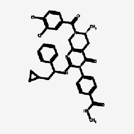 CNC(=O)c1ccc(-n2c(NC(CC3CC3)c3ccccc3)nc3c(c2=O)C[C@@H](C)N(C(=O)c2ccc(Cl)c(Cl)c2)C3)cc1